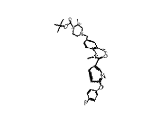 C[C@H]1CN(Cc2ccc(N(C)C(=O)c3ccc(Oc4ccc(F)cc4)nc3)c(F)c2)CCN1C(=O)OC(C)(C)C